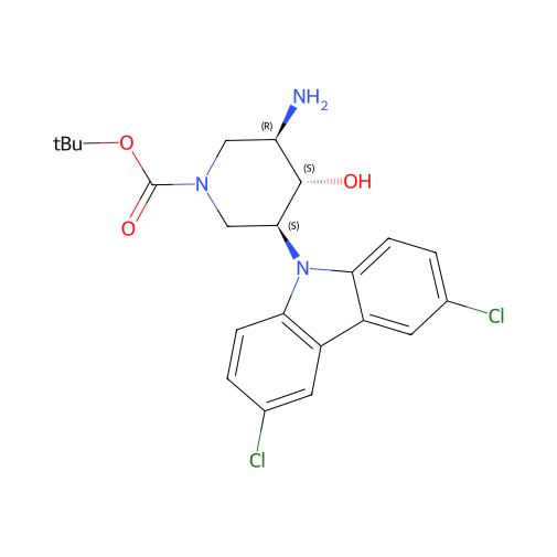 CC(C)(C)OC(=O)N1C[C@@H](N)[C@H](O)[C@@H](n2c3ccc(Cl)cc3c3cc(Cl)ccc32)C1